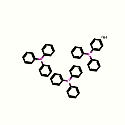 [HH].c1ccc(P(c2ccccc2)c2ccccc2)cc1.c1ccc(P(c2ccccc2)c2ccccc2)cc1.c1ccc(P(c2ccccc2)c2ccccc2)cc1